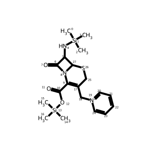 C[Si](C)(C)NC1C(=O)N2C(C(=O)O[Si](C)(C)C)=C(C[n+]3ccccc3)CSC12